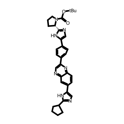 CC(C)(C)OC(=O)N1CCC[C@H]1c1ncc(-c2ccc(-c3cnc4cc(-c5cnc(C6CCCC6)[nH]5)ccc4n3)cc2)[nH]1